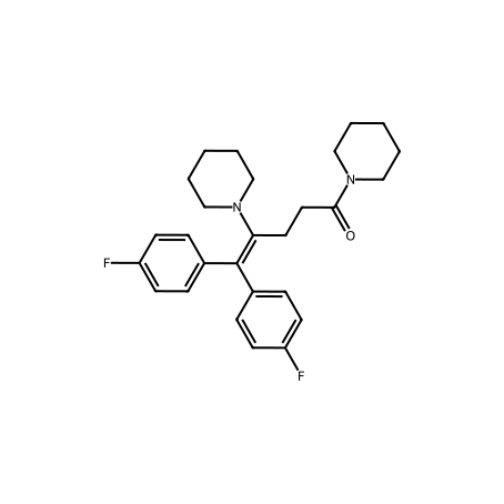 O=C(CCC(=C(c1ccc(F)cc1)c1ccc(F)cc1)N1CCCCC1)N1CCCCC1